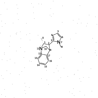 C[C@@H]1C(c2cccn2C)C2CN1c1ccccc12